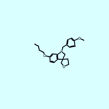 CCCCOc1ccc2c(c1)N(Cc1ccc(OC)cc1)CC21CCOC1